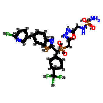 NS(=O)(=O)NCc1nnc(CS(=O)(=O)C(c2ccc(C(F)(F)F)cc2)c2nc3ccc(-c4ccc(F)nc4)cc3s2)o1